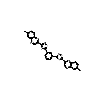 Cc1ccc2nc(-c3nnc(-c4cccc(-c5nnc(-c6cnc7cc(C)ccc7n6)o5)c4)o3)cnc2c1